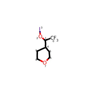 FC(F)(F)C(OI)C1CCOCC1